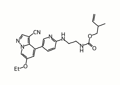 C=CC(C)COC(=O)NCCNc1ccc(-c2cc(OCC)cn3ncc(C#N)c23)cn1